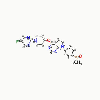 C[S+]([O-])c1ccc(N2CCc3c(OC4CCN(c5ncc(F)cn5)CC4)ncnc32)cc1